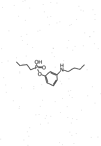 CCCCNc1cccc(OP(=O)(O)CCCC)c1